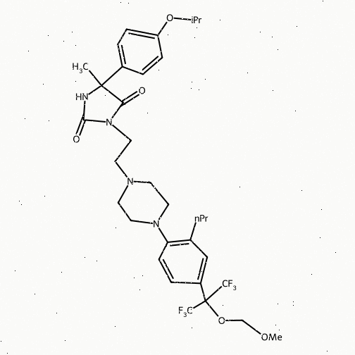 CCCc1cc(C(OCOC)(C(F)(F)F)C(F)(F)F)ccc1N1CCN(CCN2C(=O)NC(C)(c3ccc(OC(C)C)cc3)C2=O)CC1